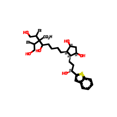 CCC(CO)C(C(=O)O)(C(O)CCCC[C@@H]1[C@@H](CC[C@@H](O)c2cc3ccccc3s2)[C@H](O)C[C@@H]1O)C(CC)CO